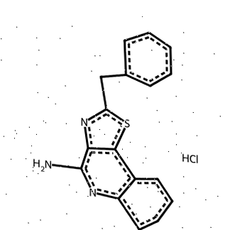 Cl.Nc1nc2ccccc2c2sc(Cc3ccccc3)nc12